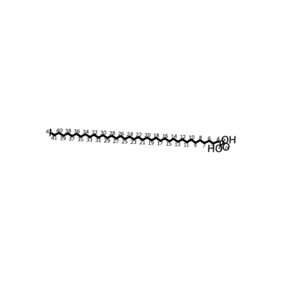 O=P(O)(O)CCCCCCCCCCCCCCCCCCCCCCCCCCCCCCCCCCCCCCI